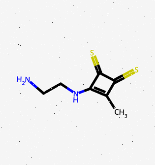 Cc1c(NCCN)c(=S)c1=S